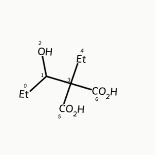 CCC(O)C(CC)(C(=O)O)C(=O)O